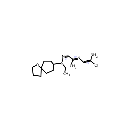 CCN(\N=C/C(C)=N/C=C(\N)Cl)C1CCC2(CCCO2)CC1